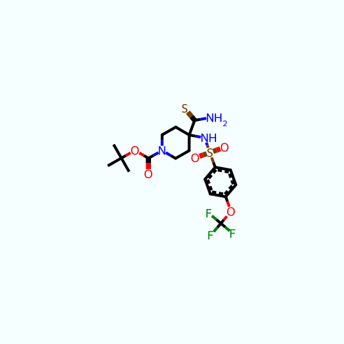 CC(C)(C)OC(=O)N1CCC(NS(=O)(=O)c2ccc(OC(F)(F)F)cc2)(C(N)=S)CC1